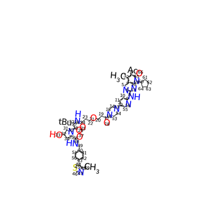 CC(=O)c1c(C)c2cnc(Nc3ccc(N4CCN(C(=O)CCOCCC(=O)N[C@H](C(=O)N5C[C@H](O)C[C@H]5C(=O)NCc5ccc(-c6scnc6C)cc5)C(C)(C)C)CC4)cn3)nc2n(C2CCCC2)c1=O